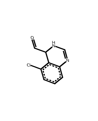 O=CC1NC=Nc2cccc(Cl)c21